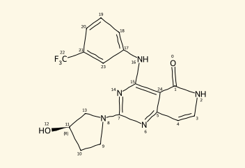 O=c1[nH]ccc2nc(N3CC[C@@H](O)C3)nc(Nc3cccc(C(F)(F)F)c3)c12